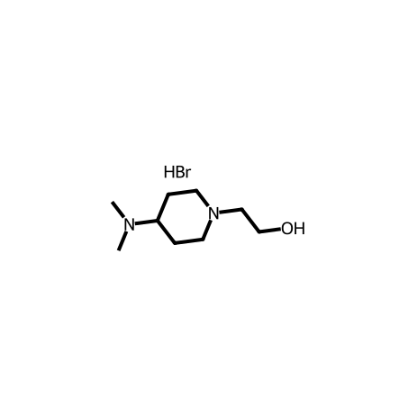 Br.CN(C)C1CCN(CCO)CC1